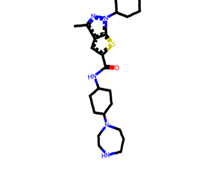 Cc1nn(C2CCCCC2)c2sc(C(=O)NC3CCC(N4CCCNCC4)CC3)cc12